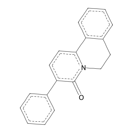 O=c1c(-c2ccccc2)ccc2n1CCc1ccccc1-2